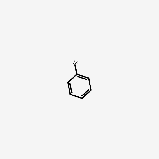 [As]c1ccccc1